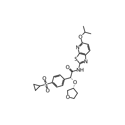 CC(C)Oc1ccc2nc(NC(=O)[C@H](O[C@@H]3CCOC3)c3ccc(S(=O)(=O)C4CC4)cc3)sc2n1